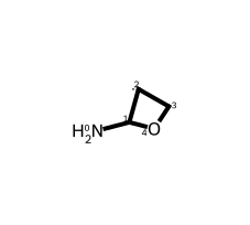 NC1[CH]CO1